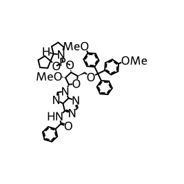 COc1ccc(C(OC[C@H]2O[C@@H](N3C=NC4C(NC(=O)c5ccccc5)=NC=NC43)[C@H](OC)[C@@H]2O[P@@]2OC3(CCCC3)[C@@H]3CCCN32)(c2ccccc2)c2ccc(OC)cc2)cc1